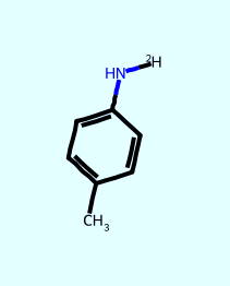 [2H]Nc1ccc(C)cc1